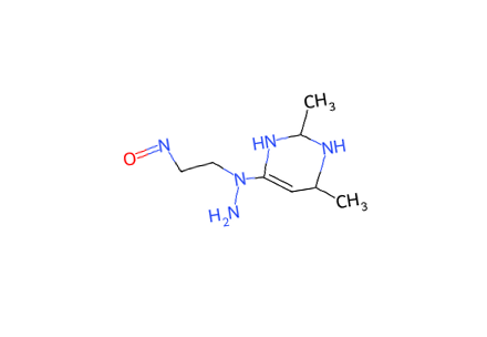 CC1C=C(N(N)CCN=O)NC(C)N1